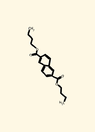 CCCCOC(=O)c1ccc2cc(C(=O)OCCCC)ccc2c1